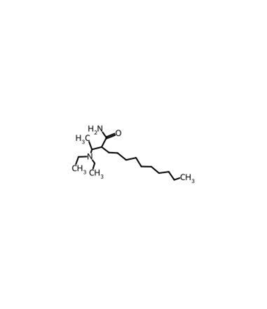 CCCCCCCCCCC(C(N)=O)C(C)N(CC)CC